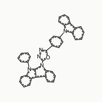 c1ccc(-n2c3ccccc3c3c4ccccc4n(-c4nnc(-c5ccc(-n6c7ccccc7c7ccccc76)cc5)o4)c32)cc1